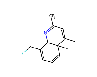 CC1=CC(C(F)(F)F)=NC2C(CF)=CC=CC12C